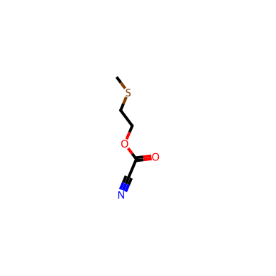 CSCCOC(=O)C#N